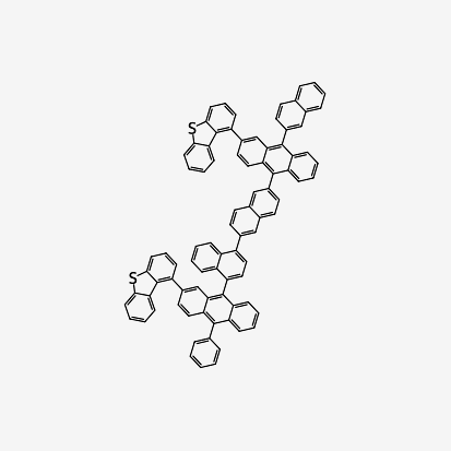 c1ccc(-c2c3ccccc3c(-c3ccc(-c4ccc5cc(-c6c7ccccc7c(-c7ccc8ccccc8c7)c7cc(-c8cccc9sc%10ccccc%10c89)ccc67)ccc5c4)c4ccccc34)c3cc(-c4cccc5sc6ccccc6c45)ccc23)cc1